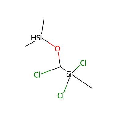 C[SiH](C)OC(Cl)[Si](C)(Cl)Cl